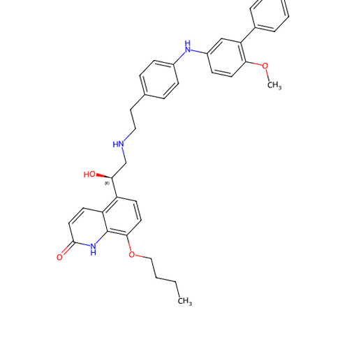 CCCCOc1ccc([C@@H](O)CNCCc2ccc(Nc3ccc(OC)c(-c4ccccc4)c3)cc2)c2ccc(=O)[nH]c12